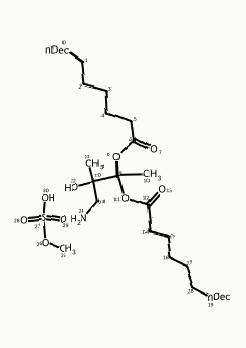 CCCCCCCCCCCCCCCC(=O)OC(C)(OC(=O)CCCCCCCCCCCCCCC)C(C)(O)CN.COS(=O)(=O)O